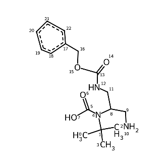 CC(C)(C)N(C(=O)O)C(CN)CNC(=O)OCc1ccccc1